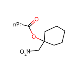 CCCC(=O)OC1(C[N+](=O)[O-])CCCCC1